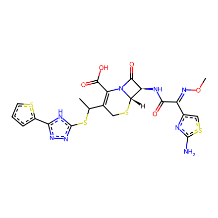 CON=C(C(=O)N[C@@H]1C(=O)N2C(C(=O)O)=C(C(C)Sc3nnc(-c4cccs4)[nH]3)CS[C@@H]12)c1csc(N)n1